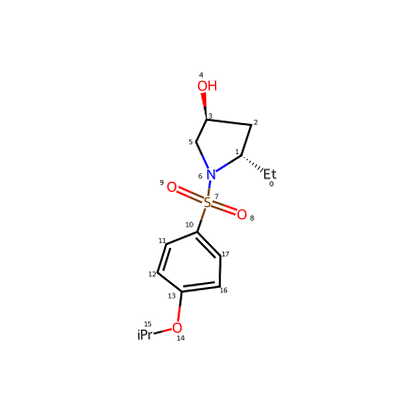 CC[C@H]1C[C@H](O)CN1S(=O)(=O)c1ccc(OC(C)C)cc1